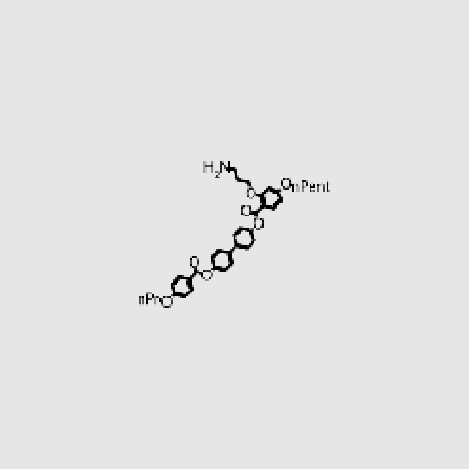 CCCCCOc1ccc(C(=O)Oc2ccc(-c3ccc(OC(=O)c4ccc(OCCC)cc4)cc3)cc2)c(OCCCN)c1